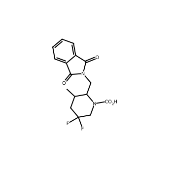 CC1CC(F)(F)CN(C(=O)O)C1CN1C(=O)c2ccccc2C1=O